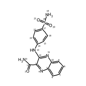 NC(=O)c1nc2ccccc2nc1Nc1ccc(S(N)(=O)=O)cc1